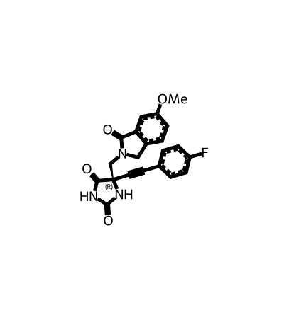 COc1ccc2c(c1)C(=O)N(C[C@@]1(C#Cc3ccc(F)cc3)NC(=O)NC1=O)C2